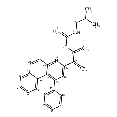 C=C(NCC(C)C)OC(=C)C(=C)c1cc(-c2ccccc2)c2c(ccc3ccccc32)n1